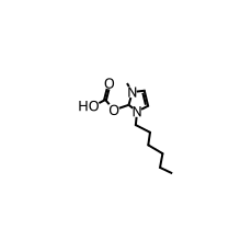 CCCCCCN1C=CN(C)C1OC(=O)O